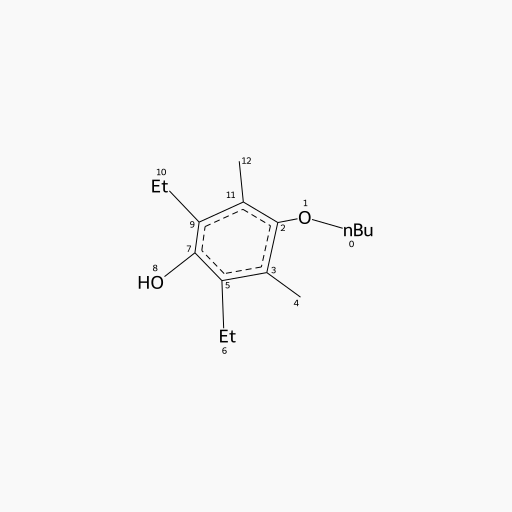 CCCCOc1c(C)c(CC)c(O)c(CC)c1C